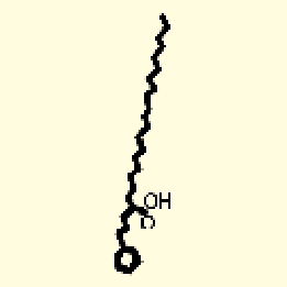 CCCCCCCCCCCCCCCCCCCC(=CC=Cc1ccccc1)C(=O)O